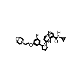 O=C(NC1CC1)c1cnn2ccc(N3CCCC3c3cc(F)cc(OCCN4CCOCC4)c3)nc12